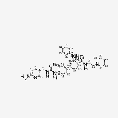 Nc1ccc(CNC(=O)Nc2ccc(-c3ccc(C(=O)NCCN4CCCCC4)c(Nc4ccccc4)n3)cc2F)cn1